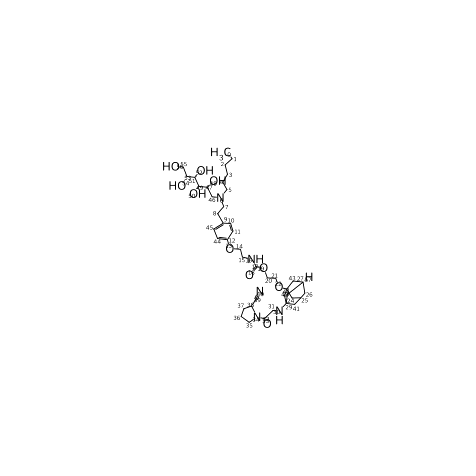 CCCCCCN(CCc1ccc(OCCNC(=O)OCCOC23CC4C[C@@H](CC(NCC(=O)N5CCC[C@H]5C#N)(C4)C2)C3)cc1)C[C@H](O)[C@@H](O)[C@H](O)[C@H](O)CO